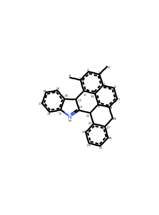 Cc1cc(C)c2ccc3c4c2c1C1C(=Nc2ccccc21)C4c1ccccc1C3